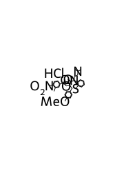 COc1ccc(C2Sc3ccccc3N(CCN(C)C)C(=O)C2OC(=O)c2ccc([N+](=O)[O-])c(C)c2)cc1.Cl